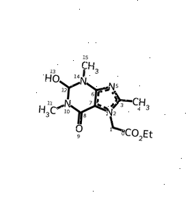 CCOC(=O)Cn1c(C)nc2c1C(=O)N(C)C(O)N2C